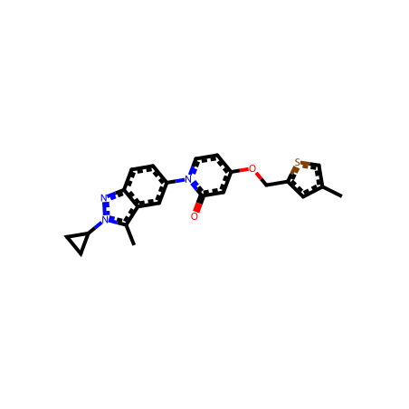 Cc1csc(COc2ccn(-c3ccc4nn(C5CC5)c(C)c4c3)c(=O)c2)c1